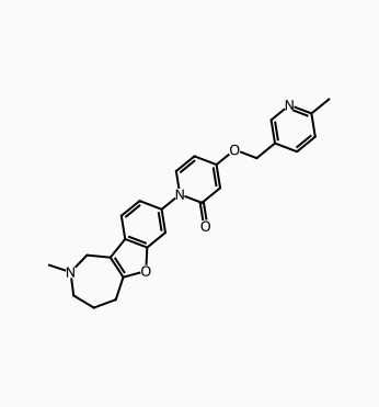 Cc1ccc(COc2ccn(-c3ccc4c5c(oc4c3)CCCN(C)C5)c(=O)c2)cn1